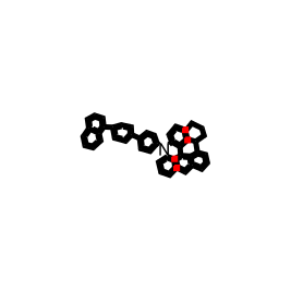 c1ccc(N(c2ccc(-c3ccc(-c4cccc5ccccc45)cc3)cc2)c2ccccc2-c2cccc3cccc(C4CCCCC4)c23)cc1